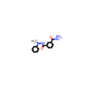 CN(NC(=O)c1cccc(C(=O)NN)c1)c1ccccc1